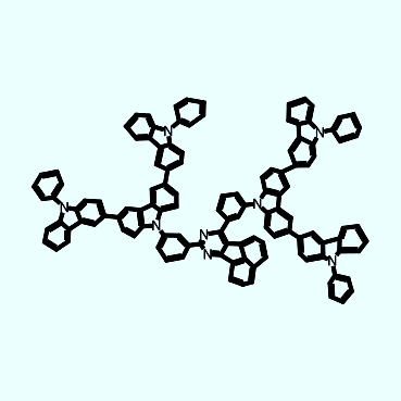 c1ccc(-n2c3ccccc3c3cc(-c4ccc5c(c4)c4cc(-c6ccc7c(c6)c6ccccc6n7-c6ccccc6)ccc4n5-c4cccc(-c5nc(-c6cccc(-n7c8ccc(-c9ccc%10c(c9)c9ccccc9n%10-c9ccccc9)cc8c8cc(-c9ccc%10c(c9)c9ccccc9n%10-c9ccccc9)ccc87)c6)c6c(n5)-c5cccc7cccc-6c57)c4)ccc32)cc1